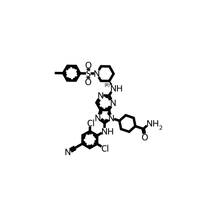 Cc1ccc(S(=O)(=O)N2CCC[C@@H](Nc3ncc4nc(Nc5c(Cl)cc(C#N)cc5Cl)n(C5CCC(C(N)=O)CC5)c4n3)C2)cc1